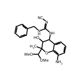 COC(OC)C1(C)Oc2c(N)cccc2C(NC(=NC#N)NCc2ccccc2)C1O